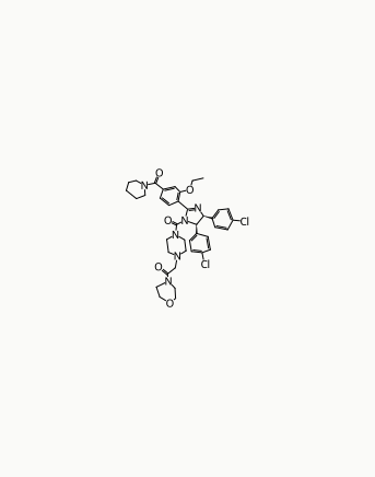 CCOc1cc(C(=O)N2CCCCC2)ccc1C1=N[C@@H](c2ccc(Cl)cc2)[C@@H](c2ccc(Cl)cc2)N1C(=O)N1CCN(CC(=O)N2CCOCC2)CC1